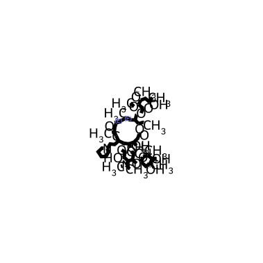 CCC1OC(=O)CC(O)C(C)C(OC2OC(C)C(OC3C[C@](C)(O)C(O)C(C)O3)C(N(C)C)C2O)C(CCN2CCCCC2)CC(C)C(=O)/C=C/C(C)=C/C1COC1OC(C)(O)CC(OC)C1OC